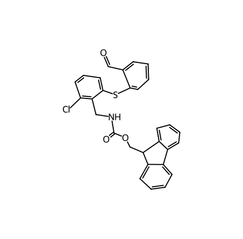 O=Cc1ccccc1Sc1cccc(Cl)c1CNC(=O)OCC1c2ccccc2-c2ccccc21